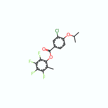 Cc1c(F)c(F)c(F)c(F)c1OC(=O)c1ccc(OC(C)C)c(Cl)c1